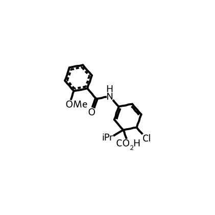 COc1ccccc1C(=O)NC1=CC(C(=O)O)(C(C)C)C(Cl)C=C1